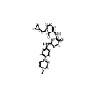 CN1CCN(c2ccc(Nc3ncc(Br)c(Nc4cccn(CC5CC5)c4=O)n3)cc2)CC1